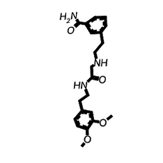 COc1ccc(CCNC(=O)CNCCc2cccc(C(N)=O)c2)cc1OC